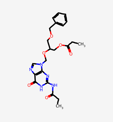 CCC(=O)Nc1nc2c(ncn2COC(COCc2ccccc2)COC(=O)CC)c(=O)[nH]1